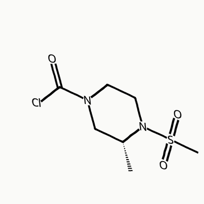 C[C@@H]1CN(C(=O)Cl)CCN1S(C)(=O)=O